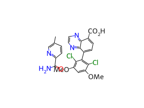 COc1cc(OC)c(Cl)c(-c2ccc(C(=O)O)c3nccnc23)c1Cl.Cc1ccc(C(N)=O)nc1